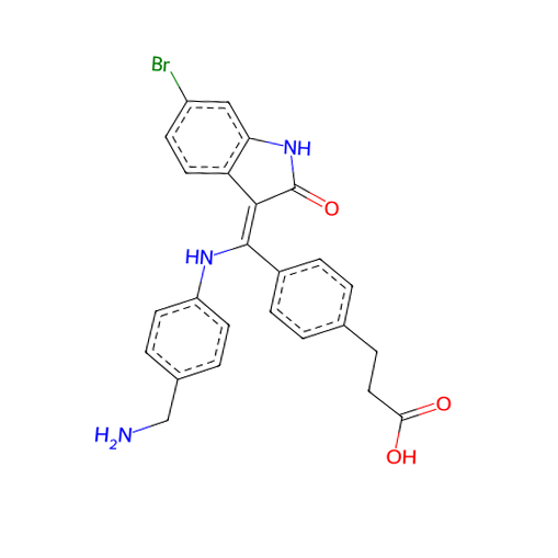 NCc1ccc(NC(=C2C(=O)Nc3cc(Br)ccc32)c2ccc(CCC(=O)O)cc2)cc1